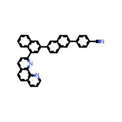 N#Cc1ccc(-c2ccc3cc(-c4cc(-c5ccc6ccc7cccnc7c6n5)c5ccccc5c4)ccc3c2)cc1